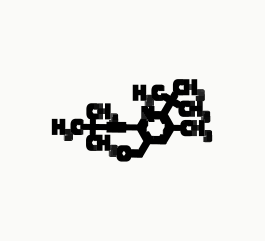 Cc1cc(C=O)c(C#CC(C)(C)C)nc1C(C)(C)C